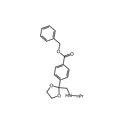 CCCNCC1(c2ccc(C(=O)OCc3ccccc3)cc2)OCCO1